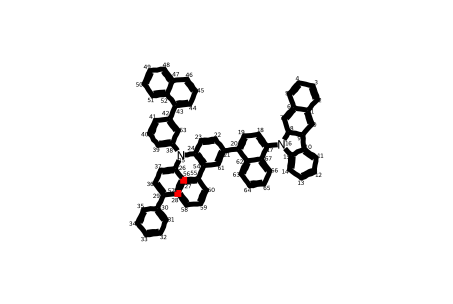 C1=c2ccccc2=CC2C1c1ccccc1N2c1ccc(-c2ccc(N(c3ccc(-c4ccccc4)cc3)c3cccc(-c4cccc5ccccc45)c3)c(-c3ccccc3)c2)c2ccccc12